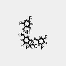 CC1(F)C(=O)N(Cc2cc(F)cc(F)c2)c2cc(C(=O)NCc3c(F)cc(F)cc3F)cc(I)c21